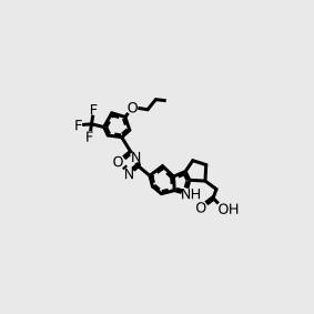 CCCOc1cc(-c2nc(-c3ccc4[nH]c5c(c4c3)CCC5CC(=O)O)no2)cc(C(F)(F)F)c1